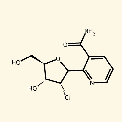 NC(=O)c1cccnc1C1O[C@H](CO)[C@@H](O)[C@H]1Cl